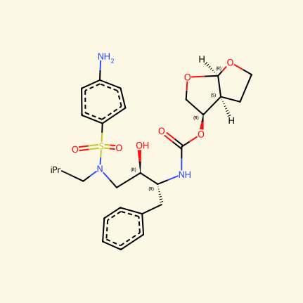 CC(C)CN(C[C@@H](O)[C@@H](Cc1ccccc1)NC(=O)O[C@H]1CO[C@H]2OCC[C@H]21)S(=O)(=O)c1ccc(N)cc1